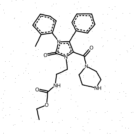 CCOC(=O)NCCn1c(C(=O)N2CCNCC2)c(-c2ccccc2)n(-c2ccccc2C)c1=O